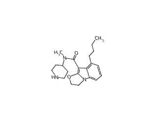 CCCCc1cccc2c1c(C(=O)N(C)C1CCNCC1)c1n2CCO1